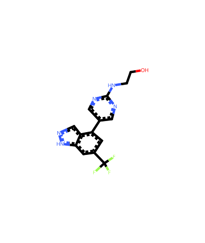 OCCNc1ncc(-c2cc(C(F)(F)F)cc3[nH]ncc23)cn1